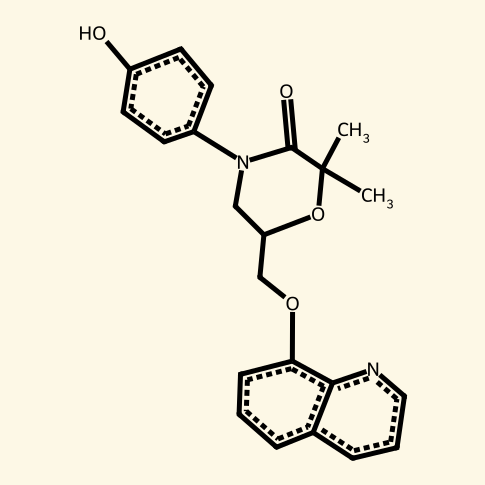 CC1(C)OC(COc2cccc3cccnc23)CN(c2ccc(O)cc2)C1=O